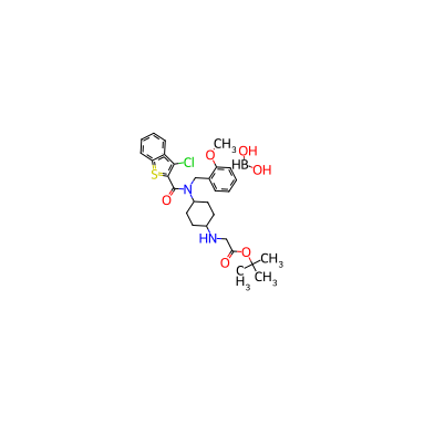 COc1ccccc1CN(C(=O)c1sc2ccccc2c1Cl)C1CCC(NCC(=O)OC(C)(C)C)CC1.OBO